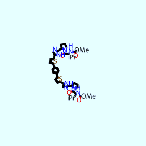 COC(=O)NC(C(=O)N1CCCC1c1ncc(-c2ccc(-c3ccc(-c4ccc(-c5cnc(C6CCCN6C(=O)[C@@H](NC(=O)OC)C(C)C)[nH]5)s4)cc3)s2)[nH]1)C(C)C